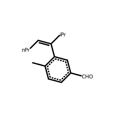 CCC/C=C(\c1cc(C=O)ccc1C)C(C)C